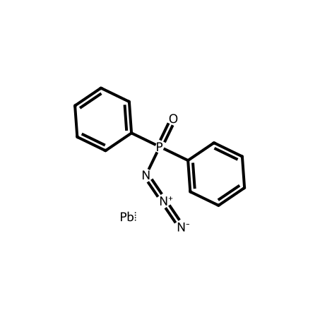 [N-]=[N+]=NP(=O)(c1ccccc1)c1ccccc1.[Pb]